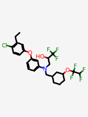 CCc1cc(Oc2cccc(N(CC3CCCC(OC(F)(F)C(F)F)C3)CC(O)C(F)(F)F)c2)ccc1Cl